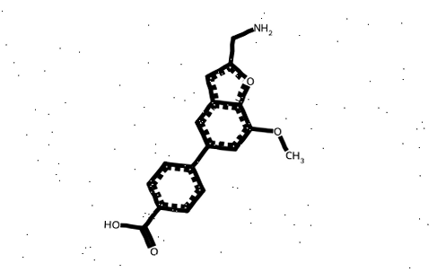 COc1cc(-c2ccc(C(=O)O)cc2)cc2cc(CN)oc12